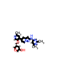 Cc1cc(-c2ccn3nc(Nc4cc(C)nc(C)n4)cc3c2)c(OC[C@H]2COC[C@@H](O)C2)cn1